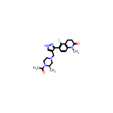 CC(=O)N1CCN(Cc2c[nH]nc2-c2ccc3c(c2F)CCC(=O)N3C)C[C@H]1C